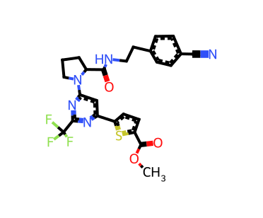 COC(=O)c1ccc(-c2cc(N3CCCC3C(=O)NCCc3ccc(C#N)cc3)nc(C(F)(F)F)n2)s1